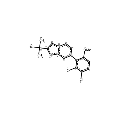 COc1ccc(Cl)c(Cl)c1-c1ccn2cc(C(C)(C)O)nc2c1